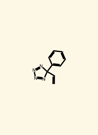 C=CC1(c2cc[c]cc2)N=NN=N1